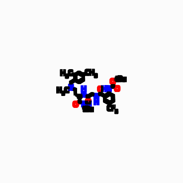 Cc1ccc(CN(C)CC[C@H](NC(=O)CNC(=O)c2cc(C(F)(F)F)ccc2NC(=O)OC(C)(C)C)C(=O)NC(C)(C)C)c(C)c1